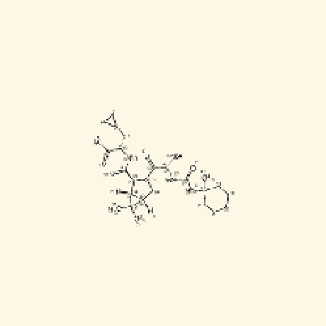 CC(=O)C(=O)[C@H](CC1CC1)NC(=O)[C@@H]1[C@@H]2[C@H](CN1C(=O)[C@@H](NC(=O)NC1(C)CCCCC1)C(C)(C)C)C2(C)C